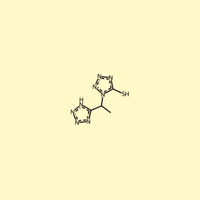 CC(c1nnn[nH]1)n1nnnc1S